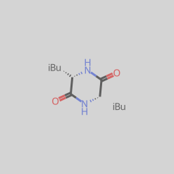 CC[C@H](C)[C@@H]1NC(=O)[C@H]([C@@H](C)CC)NC1=O